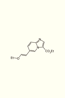 CCOC=Cc1ccc2ncc(C(=O)OCC)n2c1